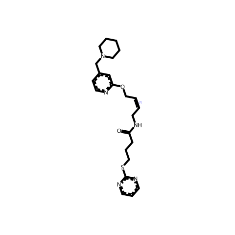 O=C(CCCSc1ncccn1)NC/C=C\COc1cc(CN2CCCCC2)ccn1